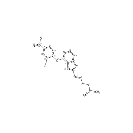 CN(C)CC/C=C/c1cc2nccc(Oc3ccc([N+](=O)[O-])cc3F)c2s1